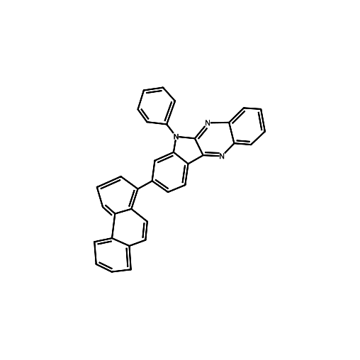 c1ccc(-n2c3cc(-c4cccc5c4ccc4ccccc45)ccc3c3nc4ccccc4nc32)cc1